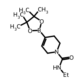 CCNC(=O)N1CC=C(B2OC(C)(C)C(C)(C)O2)CC1